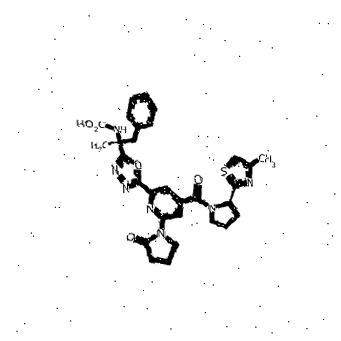 Cc1csc([C@H]2CCCN2C(=O)c2cc(-c3nnc([C@@](C)(Cc4ccccc4)NC(=O)O)o3)nc(N3CCCC3=O)c2)n1